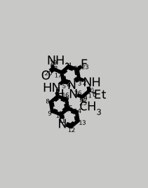 CC[C@@H](Nc1nc(Nc2ccc3ncccc3c2)c(C(N)=O)cc1F)[C@H](C)N